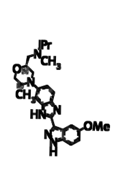 COc1ccc2[nH]nc(-c3nc4ccc(N5C[C@H](CN(C)C(C)C)OC[C@H]5C)cc4[nH]3)c2c1